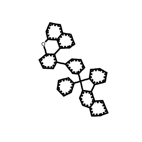 c1ccc(C2(c3cccc(-c4cccc5c4-c4cccc6cccc(c46)O5)c3)c3ccccc3-c3c2ccc2ccccc32)cc1